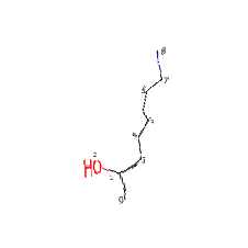 CC(O)CCCCCI